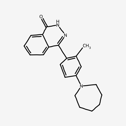 Cc1cc(N2CCCCCC2)ccc1-c1n[nH]c(=O)c2ccccc12